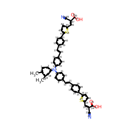 Cc1ccc(N(c2ccc(/C=C/c3ccc(-c4ccc(/C=C(/C#N)C(=O)O)s4)cc3)cc2)c2ccc(/C=C/c3ccc(-c4ccc(/C=C(\C#N)C(=O)O)s4)cc3)cc2)cc1C